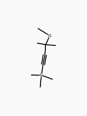 COC(C)(C)C#C[Si](C)(C)C